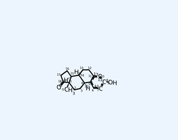 C[C@]12CC[C@@H]3c4c[13cH][13c](O)[13cH]c4CC[C@H]3[C@@H]1CCC2=O